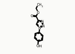 CCOC(=O)c1cn(-c2ccc(O)cc2)nn1